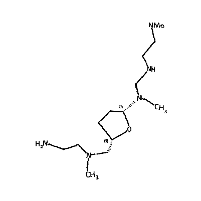 CNCCNCN(C)[C@H]1CC[C@@H](CN(C)CCN)O1